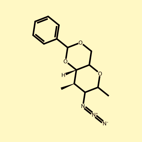 CC1OC2COC(c3ccccc3)O[C@H]2[C@H](C)C1N=[N+]=[N-]